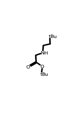 CC(C)(C)CCNCC(=O)OC(C)(C)C